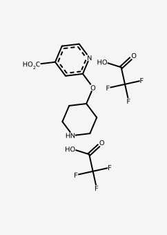 O=C(O)C(F)(F)F.O=C(O)C(F)(F)F.O=C(O)c1ccnc(OC2CCNCC2)c1